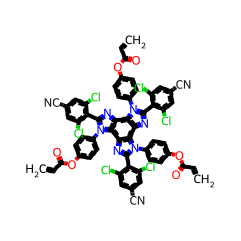 C=CC(=O)Oc1ccc(-n2c(-c3c(Cl)cc(C#N)cc3Cl)nc3c2c2nc(-c4c(Cl)cc(C#N)cc4Cl)n(-c4ccc(OC(=O)C=C)cc4)c2c2nc(-c4c(Cl)cc(C#N)cc4Cl)n(-c4ccc(OC(=O)C=C)cc4)c32)cc1